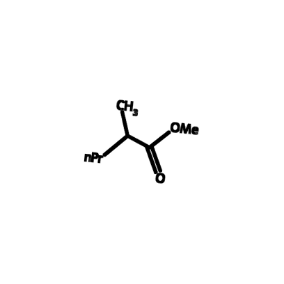 [CH]OC(=O)C(C)CCC